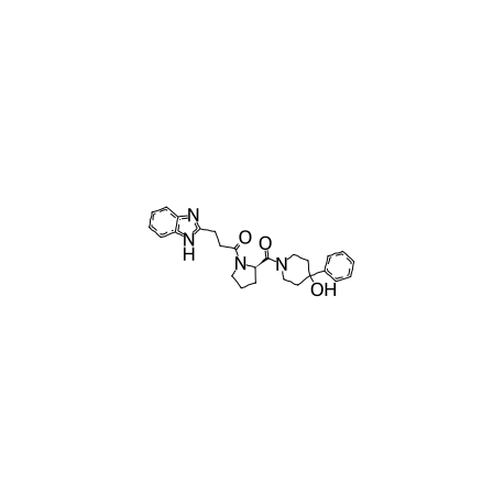 O=C([C@H]1CCCN1C(=O)CCc1nc2ccccc2[nH]1)N1CCC(O)(c2ccccc2)CC1